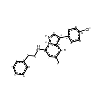 Cc1cc(NCCc2ccccc2)n2ncc(-c3ccc(Cl)cc3)c2n1